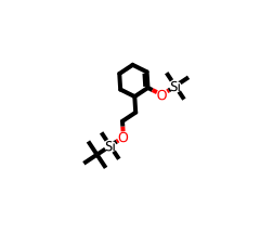 CC(C)(C)[Si](C)(C)OCCC1CCCC=C1O[Si](C)(C)C